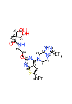 CCCc1cc2c(N3CCn4c(nnc4C(F)(F)F)C3)nc(OCCNC(=O)C(C)(CO)CO)nc2s1